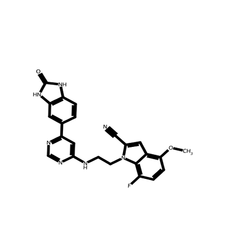 COc1ccc(F)c2c1cc(C#N)n2CCNc1cc(-c2ccc3[nH]c(=O)[nH]c3c2)ncn1